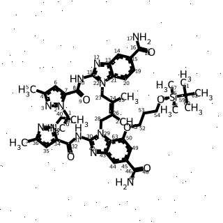 CCn1nc(C)cc1C(=O)Nc1nc2cc(C(N)=O)ccc2n1CC(C)=C(C)Cn1c(NC(=O)c2cc(C)nn2CC)nc2cc(C(N)=O)cc(OCCCO[Si](C)(C)C(C)(C)C)c21